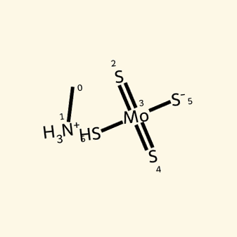 C[NH3+].[S]=[Mo](=[S])([S-])[SH]